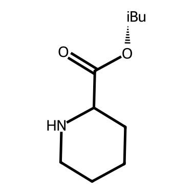 CC[C@@H](C)OC(=O)C1CCCCN1